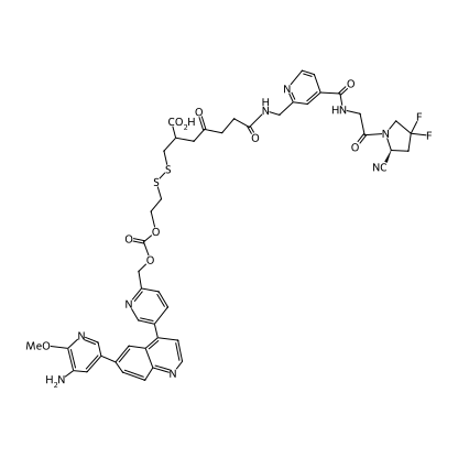 COc1ncc(-c2ccc3nccc(-c4ccc(COC(=O)OCCSSCC(CC(=O)CCC(=O)NCc5cc(C(=O)NCC(=O)N6CC(F)(F)C[C@H]6C#N)ccn5)C(=O)O)nc4)c3c2)cc1N